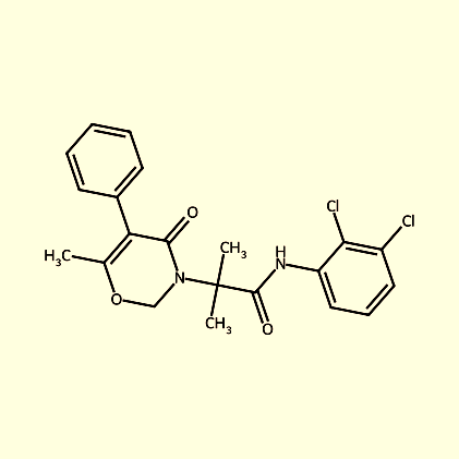 CC1=C(c2ccccc2)C(=O)N(C(C)(C)C(=O)Nc2cccc(Cl)c2Cl)CO1